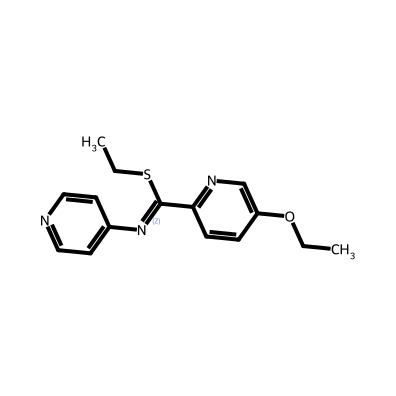 CCOc1ccc(/C(=N/c2ccncc2)SCC)nc1